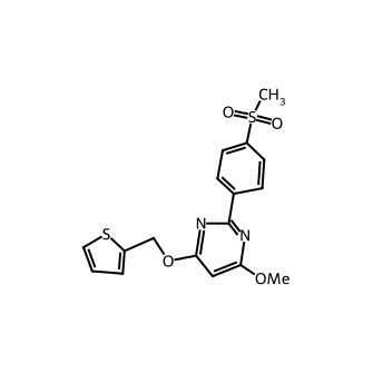 COc1cc(OCc2cccs2)nc(-c2ccc(S(C)(=O)=O)cc2)n1